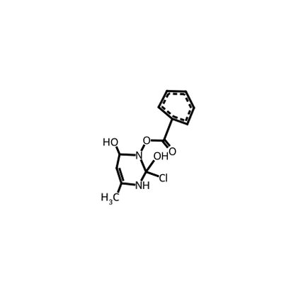 CC1=CC(O)N(OC(=O)c2ccccc2)C(O)(Cl)N1